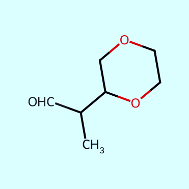 CC(C=O)C1COCCO1